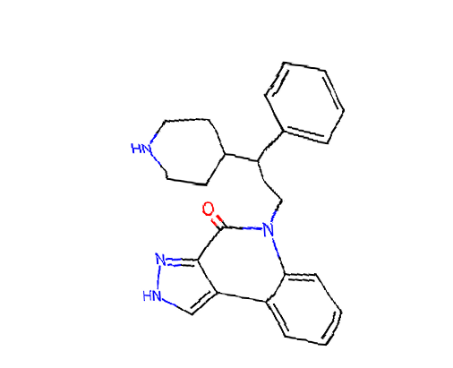 O=c1c2n[nH]cc2c2ccccc2n1CC(c1ccccc1)C1CCNCC1